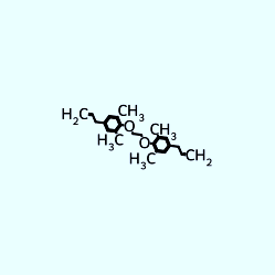 C=CCc1cc(C)c(OCCOc2c(C)cc(CC=C)cc2C)c(C)c1